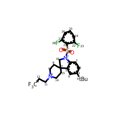 CC(C)(C)c1ccc2c(c1)C1(CCN(CCC(F)(F)F)CC1)CN2S(=O)(=O)c1c(F)cccc1F